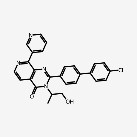 CC(CO)n1c(-c2ccc(-c3ccc(Cl)cc3)cc2)nc2c(-c3cccnc3)nccc2c1=O